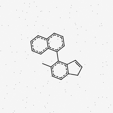 Cc1ccc2c(c1-c1cccc3ccccc13)C=CC2